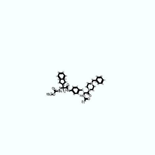 CCC(=O)N[C@H](Cc1ccc(NC(=O)[C@](C)(SNC(=O)OC(C)(C)C)C2Cc3ccccc3C2)cc1)C(=O)N1CCN(Cc2ccccc2)CC1